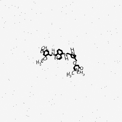 COc1ccc(CNc2nccc3c(NCC45CC(COc6cc(C)n(C)c(=O)c6)(CN4)C5)cccc23)c(OC)c1